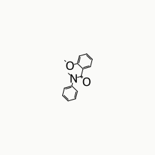 COc1ccccc1C(=O)N(C)c1ccccc1